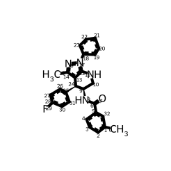 Cc1cccc(C(=O)N[C@@H]2CNc3c(c(C)nn3-c3ccccc3)[C@@H]2c2ccc(F)cc2)c1